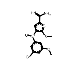 COc1cc(Br)cc([S+]([O-])c2cc(C(=N)N)sc2SC)c1